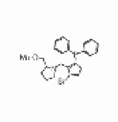 COC[C@@H]1CCCN1CC1=C(P(c2ccccc2)c2ccccc2)CC=C1Br